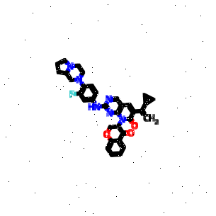 C=C(c1cc2cnc(Nc3ccc(N4CCN5CCCC5C4)c(F)c3)nc2n(C2COc3ccccc3C2=O)c1=O)C1CC1